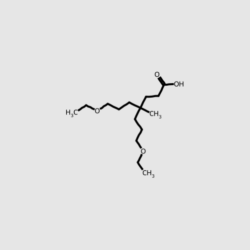 CCOCCCC(C)(CCCOCC)CCC(=O)O